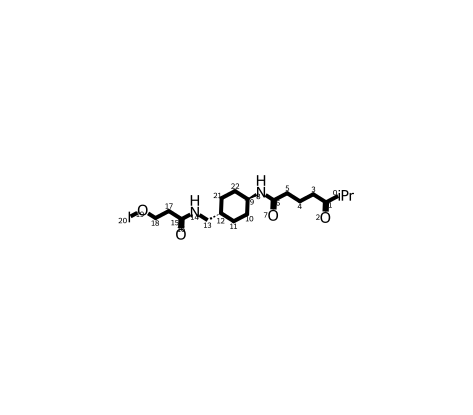 CC(C)C(=O)CCCC(=O)N[C@H]1CC[C@H](CNC(=O)CCOI)CC1